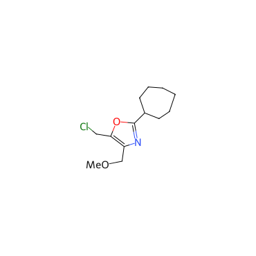 COCc1nc(C2CCCCCC2)oc1CCl